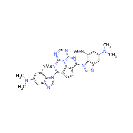 CNc1cc(N(C)C)cc2ncn(-c3nc4ncnc5nc(-n6cnc7cc(N(C)C)cc(NC)c76)c6ccc3c6n45)c12